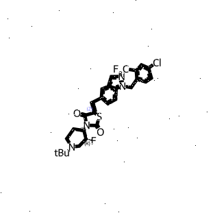 CC(C)(C)N1CC[C@@H](N2C(=O)S/C(=C\c3ccc4c(cnn4Cc4ccc(Cl)cc4C(F)(F)F)c3)C2=O)[C@H](F)C1